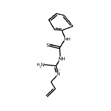 C=CC/N=C(\N)NC(=S)Nc1ccccc1